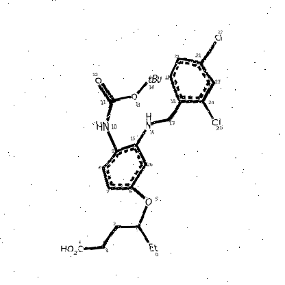 CCC(CCC(=O)O)Oc1ccc(NC(=O)OC(C)(C)C)c(NCc2ccc(Cl)cc2Cl)c1